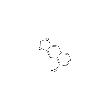 Oc1cccc2cc3c(cc12)OCO3